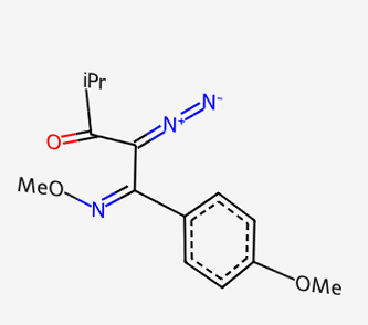 CON=C(C(=[N+]=[N-])C(=O)C(C)C)c1ccc(OC)cc1